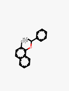 CC(Oc1c(C(=O)O)ccc2ccccc12)c1ccccc1